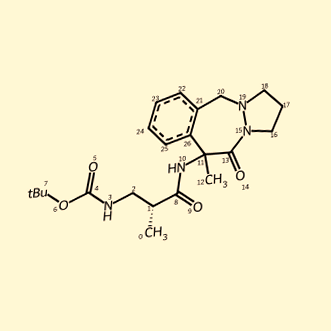 C[C@H](CNC(=O)OC(C)(C)C)C(=O)NC1(C)C(=O)N2CCCN2Cc2ccccc21